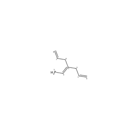 C=CCC(=CP)CC=C